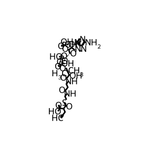 C#CCC(C(=O)O)C(=O)SCCNC(=O)CCNC(=O)[C@H](O)C(C)(C)COP(=O)(O)OP(=O)(O)OC[C@H]1O[C@@H](n2cnc3c(N)ncnc32)[C@H](O)[C@@H]1OP(=O)(O)O